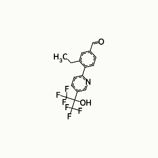 CCc1cc(C=O)ccc1-c1ccc(C(O)(C(F)(F)F)C(F)(F)F)cn1